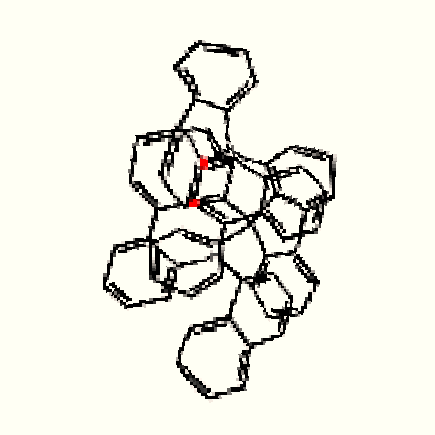 c1ccc(C2(c3ccccc3)c3ccccc3-c3cccc(-n4c5ccccc5c5ccc(-c6ccccc6N(c6cccc7ccccc67)c6cccc7ccccc67)cc54)c32)cc1